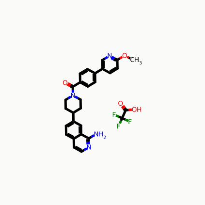 COc1ccc(-c2ccc(C(=O)N3CCC(c4ccc5ccnc(N)c5c4)CC3)cc2)cn1.O=C(O)C(F)(F)F